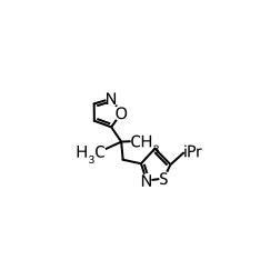 CC(C)c1cc(CC(C)(C)c2ccno2)ns1